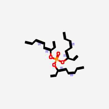 C=C/C=C\C=C(/C=C)OP(=O)(O/C(C=C)=C/C=C\C=C)O/C(C=C)=C/C=C\C=C